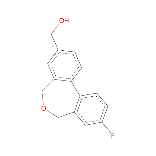 OCc1ccc2c(c1)COCc1cc(F)ccc1-2